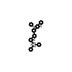 c1ccc(-c2nc(-c3ccccc3)nc(-c3cccc4c3sc3ccc(-c5ccc6c(c5)c5cc7sc8ccccc8c7cc5n6-c5ccccc5)cc34)n2)cc1